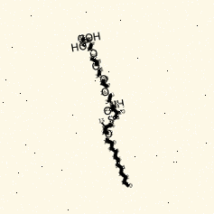 CCCCCCCCCCCCOC[C@@H](C)CSC[C@H](C)C(=O)NCCOCCOCCOCCOCCP(=O)(O)O